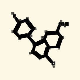 O=C(O)c1ccc2c(Cl)cnc(-c3ccc(F)cc3)c2c1